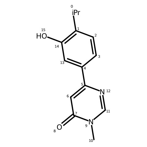 CC(C)c1ccc(-c2cc(=O)n(C)cn2)cc1O